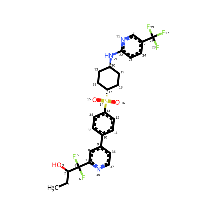 CCC(O)C(F)(F)c1cc(-c2ccc(S(=O)(=O)[C@H]3CC[C@H](Nc4ccc(C(F)(F)F)cn4)CC3)cc2)ccn1